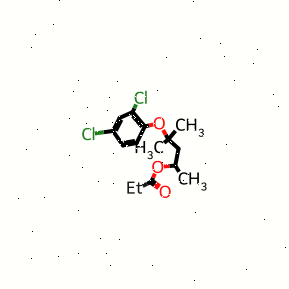 CCC(=O)OC(C)CC(C)(C)Oc1ccc(Cl)cc1Cl